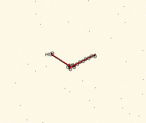 CC(=O)CCOCCOCCOCCOCCOCCOCCNC(=O)CC[C@H](NC(=O)CCCCCCCCCCCCCCCCCCC(=O)O)C(C)=O